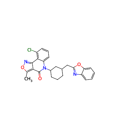 Cc1onc2c1c(=O)n(C1CCCC(Cc3nc4ccccc4o3)C1)c1cccc(Cl)c21